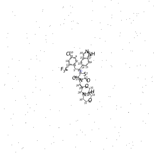 O=C1S/C(=C(/Cc2ccc(Cl)cc2C(F)(F)F)c2ccc3[nH]ncc3c2)C(=O)N1C[C@@H]1CN2CCOC[C@H]2CO1